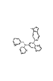 Cn1ccc2ccc(-c3cc(N(Cc4cccnc4)c4ccccn4)cc4nccnc34)cc21